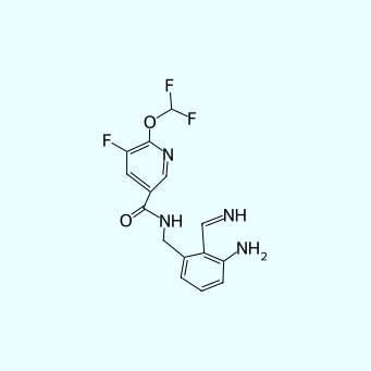 N=Cc1c(N)cccc1CNC(=O)c1cnc(OC(F)F)c(F)c1